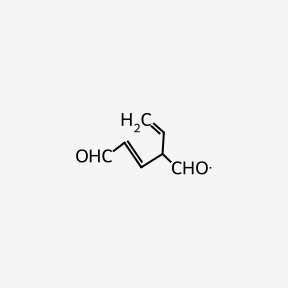 C=CC([C]=O)C=CC=O